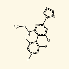 Fc1cc(F)c(-c2c(Cl)nc(-n3cccn3)nc2NCC(F)(F)F)c(F)c1